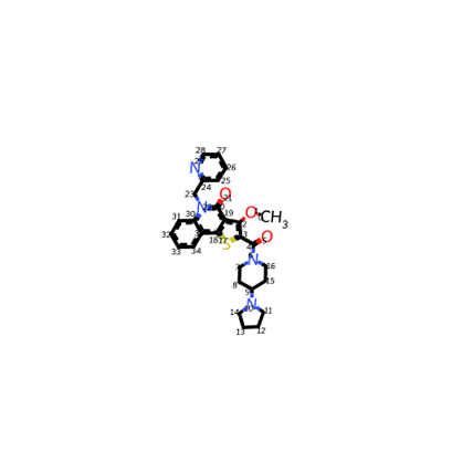 COc1c(C(=O)N2CCC(N3CCCC3)CC2)sc2c1c(=O)n(Cc1ccccn1)c1ccccc21